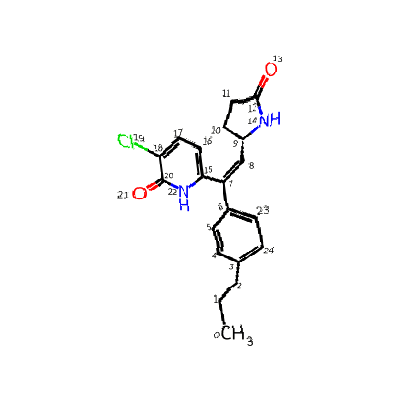 CCCc1ccc(C(=C[C@H]2CCC(=O)N2)c2ccc(Cl)c(=O)[nH]2)cc1